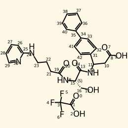 O=C(O)C(F)(F)F.O=C(O)CC(NC(=O)[C@H](CO)NC(=O)CCCNc1ccccn1)c1ccc(-c2ccccc2)cc1